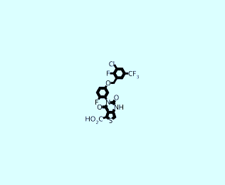 O=C(O)c1scc2[nH]c(=O)n(-c3cc(OCc4cc(C(F)(F)F)cc(Cl)c4F)ccc3F)c(=O)c12